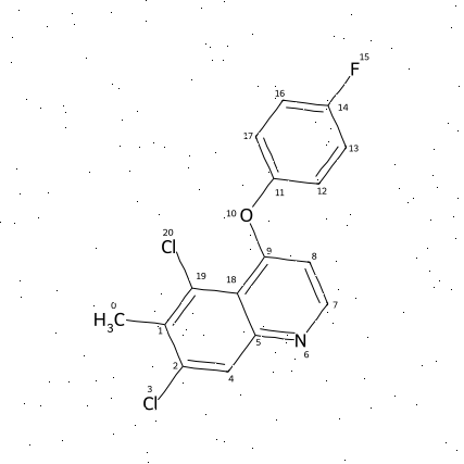 Cc1c(Cl)cc2nccc(Oc3ccc(F)cc3)c2c1Cl